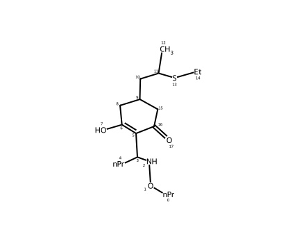 CCCONC(CCC)C1=C(O)CC(CC(C)SCC)CC1=O